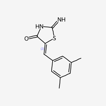 Cc1cc(C)cc(/C=C2\SC(=N)NC2=O)c1